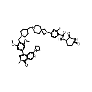 COc1cc(-c2cn(C)c(=O)c3cnc(N4CCC4)cc23)cc(OC)c1CN1CCC(CN2CCC3(CC2)CN(c2ccc(C(=O)NC4CCC(=O)NC4=O)c(F)c2)C3)CC1